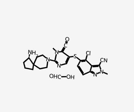 CN1C(=C=O)C(Sc2ccc3nn(C)c(C#N)c3c2Cl)=CN=C1N1CCC2(CCC[C@H]2N)CC1.O=CO